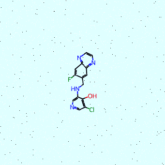 Oc1c(Cl)cncc1NCc1cc2nccnc2cc1F